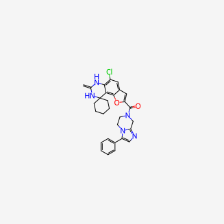 C=C1Nc2c(Cl)cc3cc(C(=O)N4CCn5c(-c6ccccc6)cnc5C4)oc3c2C2(CCCCC2)N1